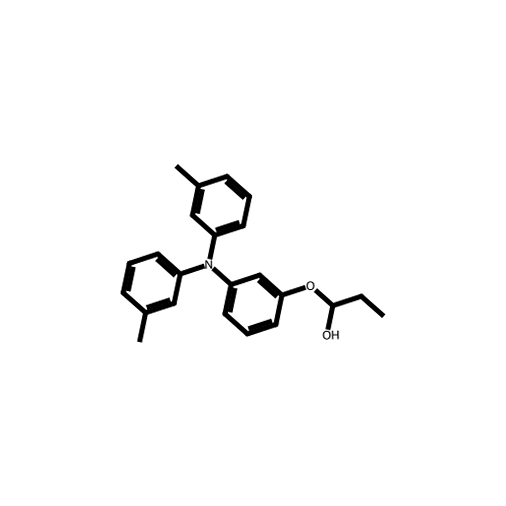 CCC(O)Oc1cccc(N(c2cccc(C)c2)c2cccc(C)c2)c1